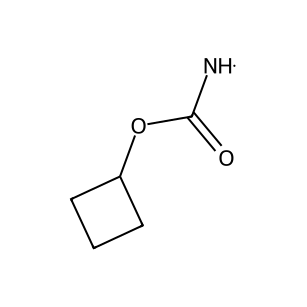 [NH]C(=O)OC1CCC1